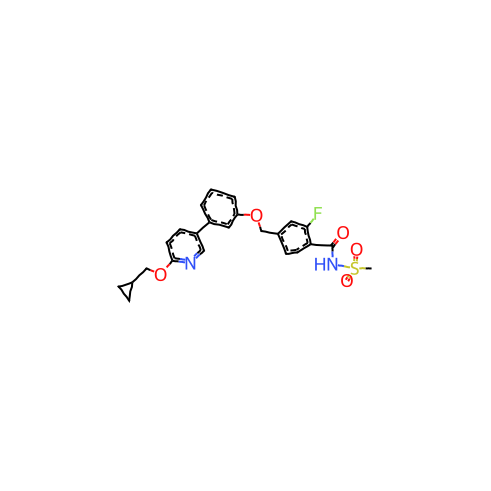 CS(=O)(=O)NC(=O)c1ccc(COc2cccc(-c3ccc(OCC4CC4)nc3)c2)cc1F